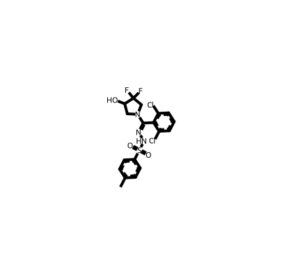 Cc1ccc(S(=O)(=O)N/N=C(\c2c(Cl)cccc2Cl)N2CC(O)C(F)(F)C2)cc1